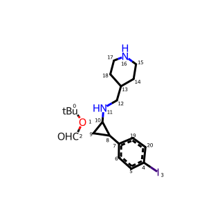 CC(C)(C)OC=O.Ic1ccc(C2CC2NCC2CCNCC2)cc1